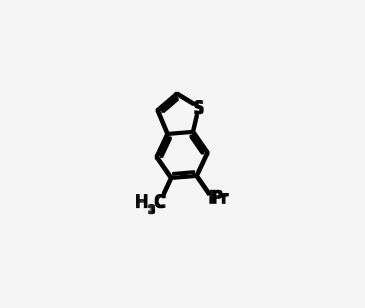 Cc1cc2ccsc2cc1C(C)C